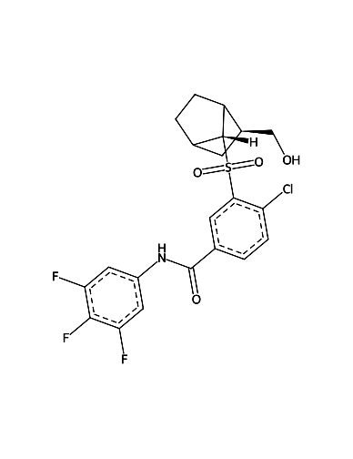 O=C(Nc1cc(F)c(F)c(F)c1)c1ccc(Cl)c(S(=O)(=O)[C@@H]2C3CCC2[C@@H](CO)C3)c1